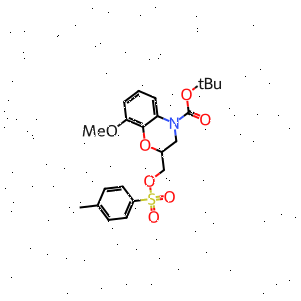 COc1cccc2c1OC(COS(=O)(=O)c1ccc(C)cc1)CN2C(=O)OC(C)(C)C